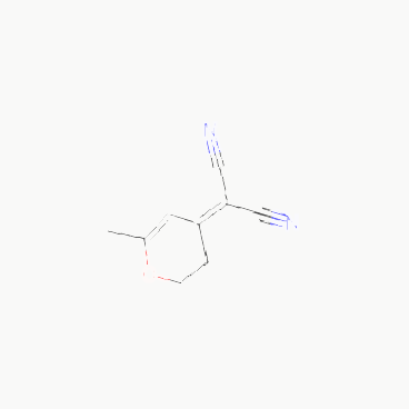 CC1=CC(=C(C#N)C#N)CCO1